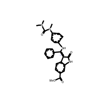 COC(=O)c1ccc2c(c1)NC(=O)/C2=C(\Nc1ccc(N(C)C(=O)N(C)C)cc1)c1ccccc1